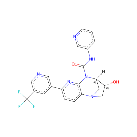 O=C(Nc1cccnc1)N1c2nc(-c3cncc(C(F)(F)F)c3)ccc2N2C[C@@H](O)[C@H]1C2